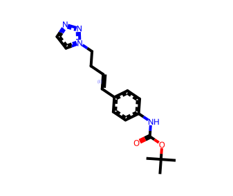 CC(C)(C)OC(=O)Nc1ccc(/C=C/CCn2ccnn2)cc1